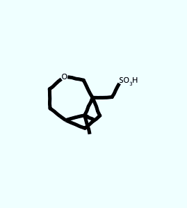 CC1(C)C2CCOCC1(CS(=O)(=O)O)CC2